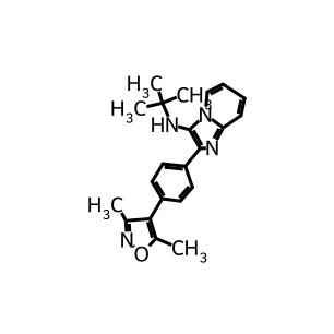 Cc1noc(C)c1-c1ccc(-c2nc3ccccn3c2NC(C)(C)C)cc1